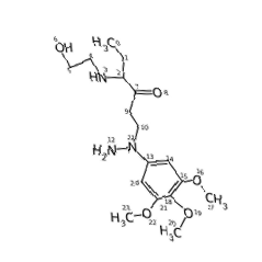 CCC(NCCO)C(=O)CCN(N)c1cc(OC)c(OC)c(OC)c1